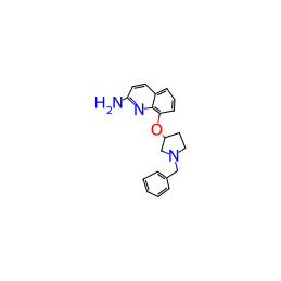 Nc1ccc2cccc(OC3CCN(Cc4ccccc4)C3)c2n1